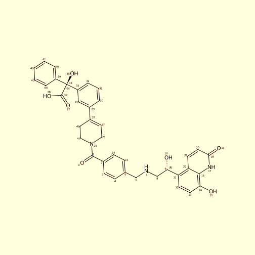 O=C(c1ccc(CNC[C@H](O)c2ccc(O)c3[nH]c(=O)ccc23)cc1)N1CC=C(c2cccc([C@](O)(C(=O)O)c3ccccc3)c2)CC1